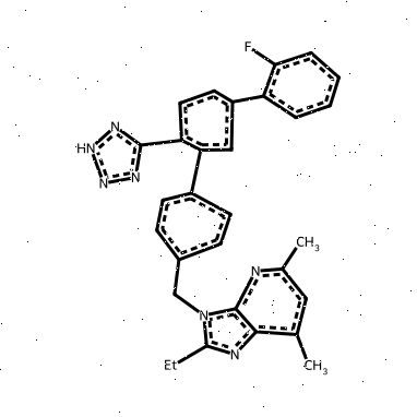 CCc1nc2c(C)cc(C)nc2n1Cc1ccc(-c2cc(-c3ccccc3F)ccc2-c2nn[nH]n2)cc1